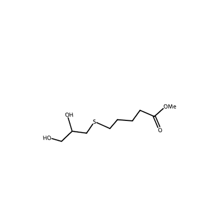 COC(=O)CCCCSCC(O)CO